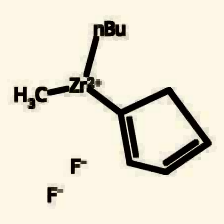 CCC[CH2][Zr+2]([CH3])[C]1=CC=CC1.[F-].[F-]